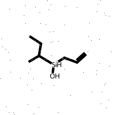 C=CC[SiH](O)C(C)CC